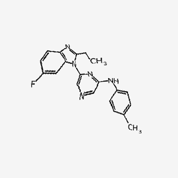 CCc1nc2ccc(F)cc2n1-c1cncc(Nc2ccc(C)cc2)n1